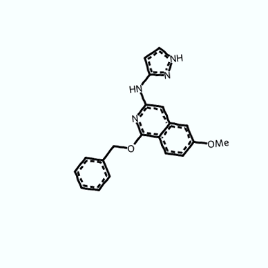 COc1ccc2c(OCc3ccccc3)nc(Nc3cc[nH]n3)cc2c1